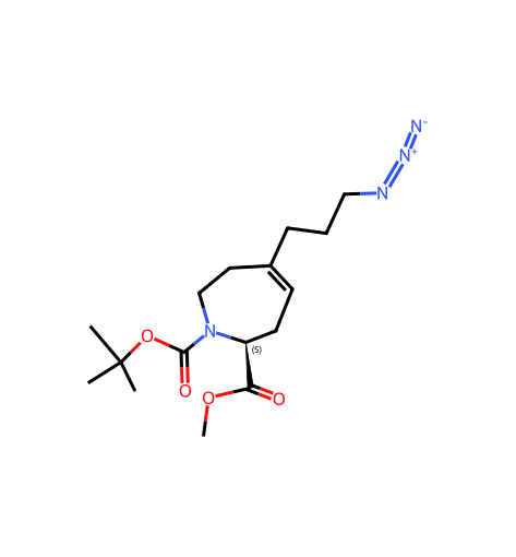 COC(=O)[C@@H]1CC=C(CCCN=[N+]=[N-])CCN1C(=O)OC(C)(C)C